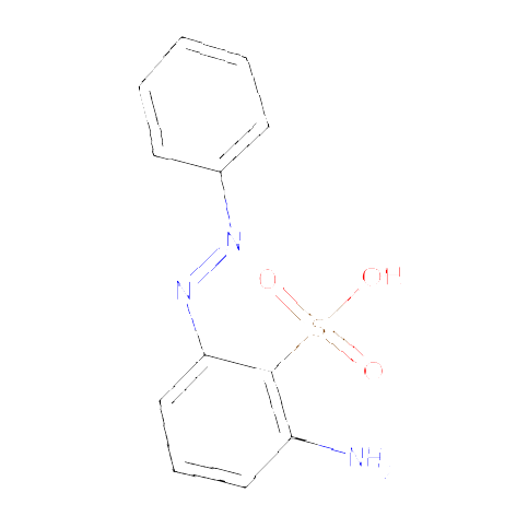 Nc1cccc(N=Nc2ccccc2)c1S(=O)(=O)O